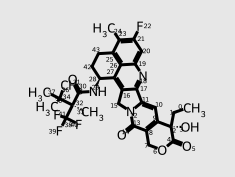 CC[C@@]1(O)C(=O)OCc2c1cc1n(c2=O)Cc2c-1nc1cc(F)c(C)c3c1c2[C@@H](NC(=O)[C@](C)(C(C)(C)C)C(F)(F)F)CC3